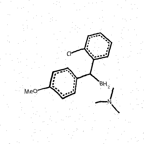 BC(c1ccc(OC)cc1)c1ccccc1Cl.CN(C)C